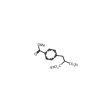 CCOC(=O)C(Cc1ccc(C(=O)OC)cc1)C(=O)OCC